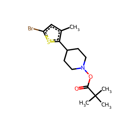 Cc1cc(Br)sc1C1CCN(OC(=O)C(C)(C)C)CC1